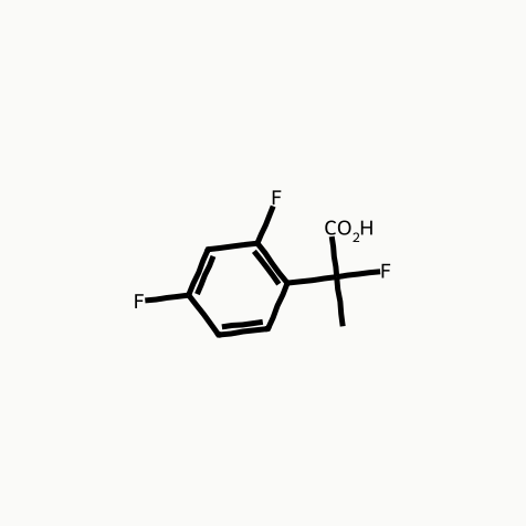 CC(F)(C(=O)O)c1ccc(F)cc1F